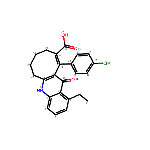 CCc1cccc2[nH]c3c(c(=O)c12)C(c1ccc(Cl)cc1)=C(C(=O)O)CCCC3